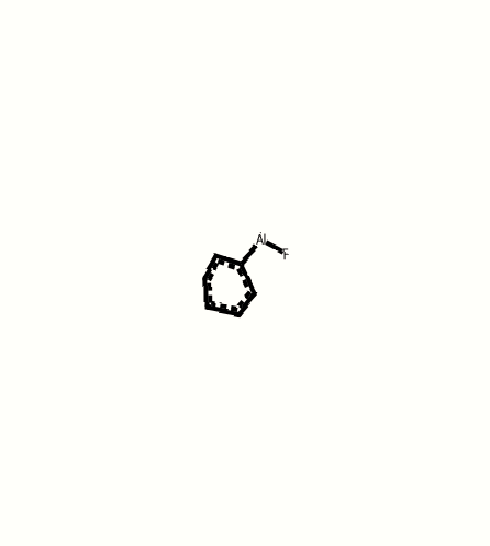 [F][Al][c]1ccccc1